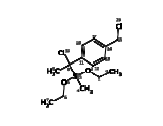 CCO[Si](C)(OCC)C(C)(Cl)c1ccc(CCl)cc1